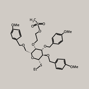 CCS[C@@H]1O[C@H](COCc2ccc(OC)cc2)[C@H](OCCOS(C)(=O)=O)[C@H](OCc2ccc(OC)cc2)[C@H]1OCc1ccc(OC)cc1